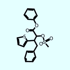 CS(=O)(=O)OC(C(=O)Oc1ccccc1)C(Cc1ccccc1)c1cccs1